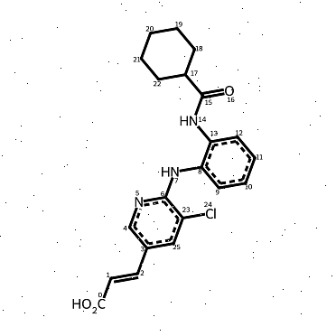 O=C(O)/C=C/c1cnc(Nc2ccccc2NC(=O)C2CCCCC2)c(Cl)c1